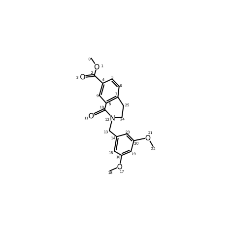 COC(=O)c1ccc2c(c1)C(=O)N(Cc1cc(OC)cc(OC)c1)CC2